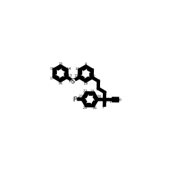 C#CC(C)(CCCc1cccc(Sc2ccccc2)c1)c1ccc(F)cc1